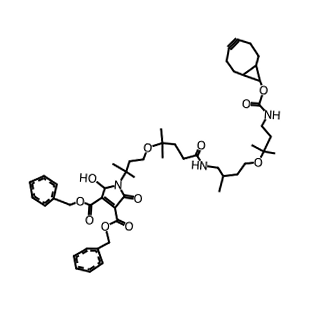 CC(CCOC(C)(C)CCNC(=O)OC1C2CCC#CCCC21)CNC(=O)CCC(C)(C)OCCC(C)(C)N1C(=O)C(C(=O)OCc2ccccc2)=C(C(=O)OCc2ccccc2)C1O